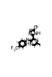 Cc1cnc(Nc2ccc(C(F)(F)F)cc2)c(-c2noc(=O)[nH]2)n1